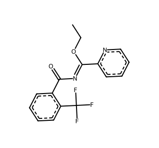 CCOC(=NC(=O)c1ccccc1C(F)(F)F)c1ccccn1